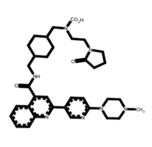 CN1CCN(c2ccc(-c3cc(C(=O)NCC4CCC(CN(CCN5CCCC5=O)C(=O)O)CC4)c4ccccc4n3)cn2)CC1